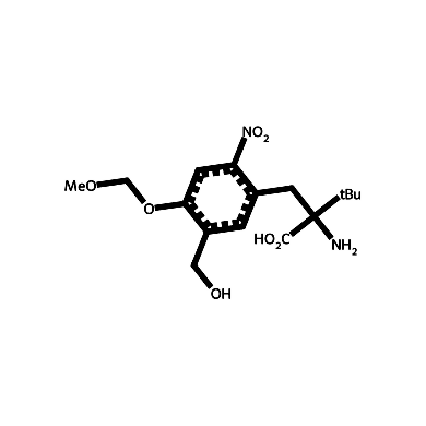 COCOc1cc([N+](=O)[O-])c(CC(N)(C(=O)O)C(C)(C)C)cc1CO